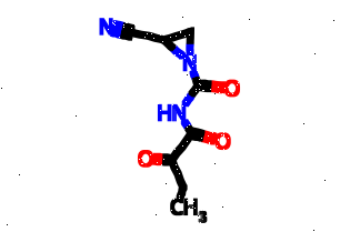 CCC(=O)C(=O)NC(=O)N1CC1C#N